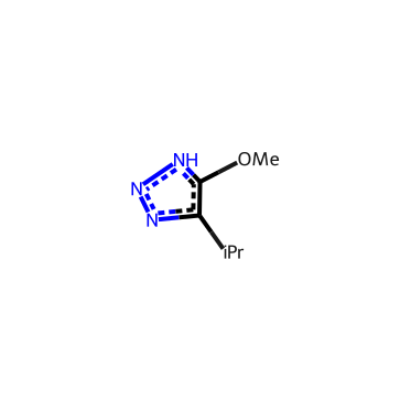 COc1[nH]nnc1C(C)C